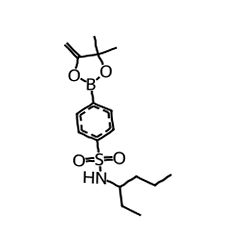 C=C1OB(c2ccc(S(=O)(=O)NC(CC)CCC)cc2)OC1(C)C